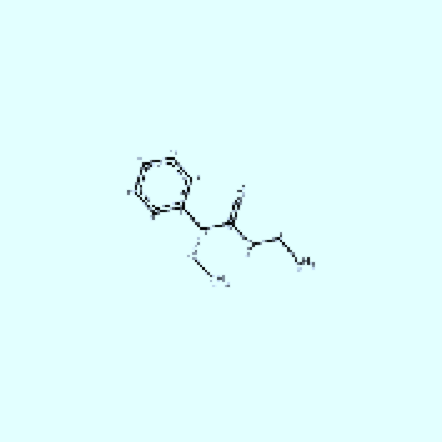 CCOC(=O)[C@H](CC)c1ccccc1